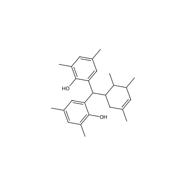 CC1=CC(C)C(C)C(C(c2cc(C)cc(C)c2O)c2cc(C)cc(C)c2O)C1